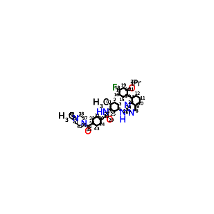 Cc1ccc(Nc2ncc3cccc(-c4ccc(F)cc4OC(C)C)c3n2)cc1NC(=O)c1ccc(C(=O)N2CCN(C)CC2)cc1